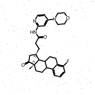 C[C@]12CCC3c4cccc(F)c4CCC3C1[C@H](CCC(=O)Nc1cc(N3CCOCC3)ccn1)CC2=O